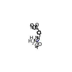 CC(C)(C)OC(=O)/C(N)=C/N(N)Cc1ccc(CN2CCN3CCCC3C2=O)cc1